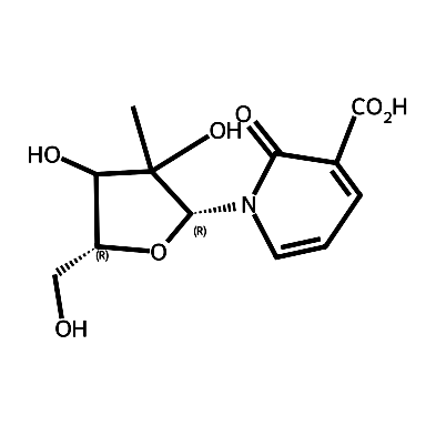 CC1(O)C(O)[C@@H](CO)O[C@H]1n1cccc(C(=O)O)c1=O